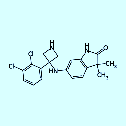 CC1(C)C(=O)Nc2cc(NC3(c4cccc(Cl)c4Cl)CNC3)ccc21